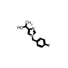 CC(O)c1cn(Cc2ccc(F)cc2)cn1